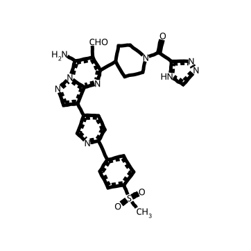 CS(=O)(=O)c1ccc(-c2ccc(-c3cnn4c(N)c(C=O)c(C5CCN(C(=O)c6nnc[nH]6)CC5)nc34)cn2)cc1